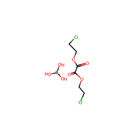 O=C(OCCCl)C(=O)OCCCl.OB(O)O